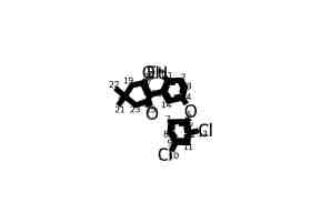 CCc1ccc(Oc2ccc(Cl)cc2Cl)cc1C1=C(O)CC(C)(C)CC1=O